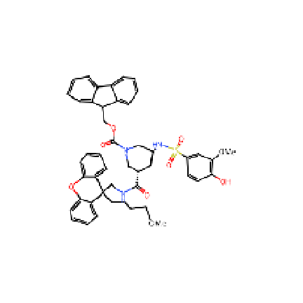 COCCCCC1(CNC(=O)[C@H]2C[C@@H](NS(=O)(=O)c3ccc(O)c(OC)c3)CN(C(=O)OCC3c4ccccc4-c4ccccc43)C2)c2ccccc2Oc2ccccc21